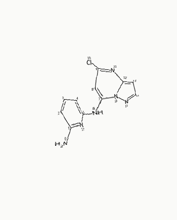 Nc1cccc(Nc2cc(Cl)nc3ccnn23)n1